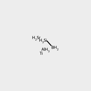 B[SiH3].[AlH3].[SrH2].[Ti]